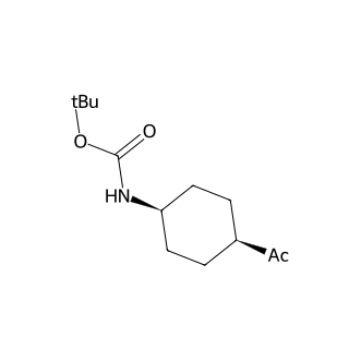 CC(=O)[C@H]1CC[C@@H](NC(=O)OC(C)(C)C)CC1